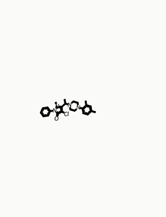 Cc1ccc(N2CCN(C(C)c3c(Cl)c(=O)n(-c4ccccc4)n3C)CC2)c(C)c1